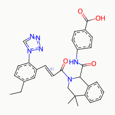 CCc1ccc(-n2cnnn2)c(/C=C/C(=O)N2CC(C)(C)c3ccccc3C2C(=O)Nc2ccc(C(=O)O)cc2)c1